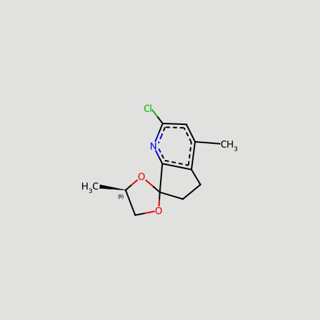 Cc1cc(Cl)nc2c1CCC21OC[C@@H](C)O1